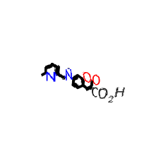 Cc1cccc(CN(C)c2ccc3cc(C(=O)O)c(=O)oc3c2)n1